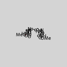 COC(=O)N[C@H](C(=O)N1CCC[C@H]1c1nc2ccc(-c3ccc4cc(-c5cnc([C@@H]6CCCN6C(=O)[C@H](NC(=O)OC)c6ccccc6)[nH]5)ccc4c3)cc2[nH]1)C1CCOCC1